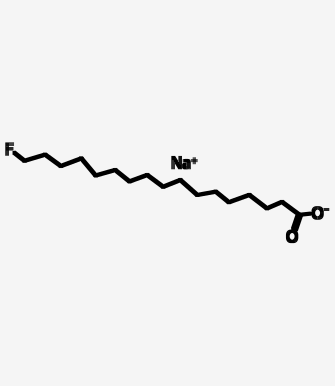 O=C([O-])CCCCCCCCCCCCCCCCF.[Na+]